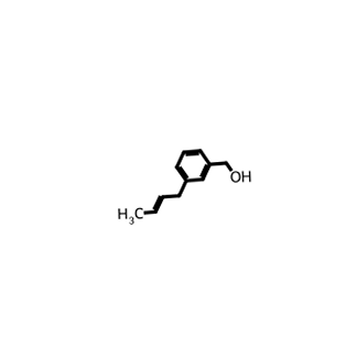 CC=CCc1cccc(CO)c1